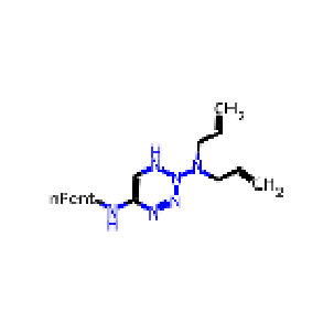 C=CCN(CC=C)N1N=NC(NCCCCC)=CN1